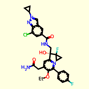 CCOc1c(CC(N)=O)cc([C@@](O)(CNC(=O)c2cc(Cl)c3nn(C4CC4)cc3c2)C2(F)CC2)nc1-c1ccc(F)cc1